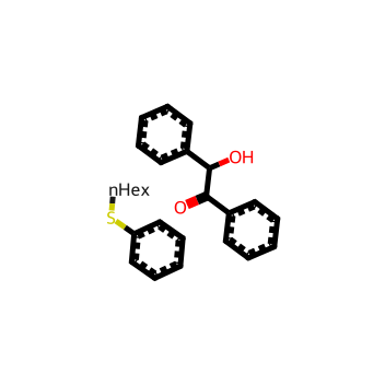 CCCCCCSc1ccccc1.O=C(c1ccccc1)C(O)c1ccccc1